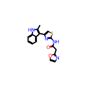 Cc1[nH]c2ccccc2c1-c1csc(NC(=O)Cc2ncco2)n1